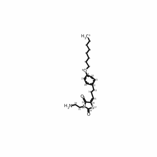 CCCCCCCCOc1ccc(CCC=C2SC(=O)N(CCN)C2=O)cc1